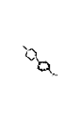 COc1ccc(N2CCN(C)CC2)cc1